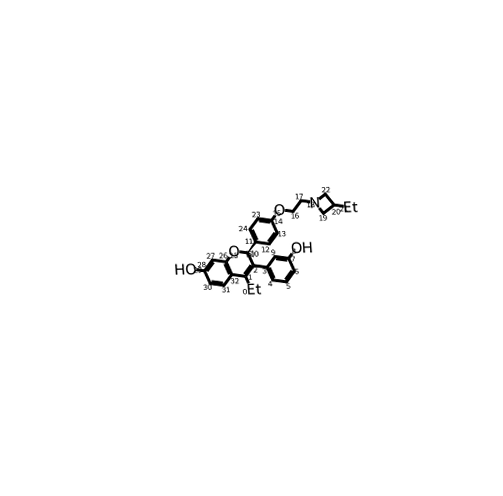 CCC1=C(c2cccc(O)c2)[C@H](c2ccc(OCCN3CC(CC)C3)cc2)Oc2cc(O)ccc21